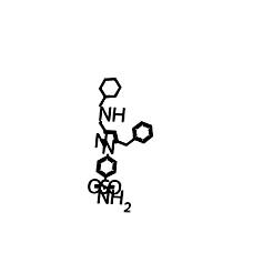 NS(=O)(=O)c1ccc(-n2nc(CNCC3CCCCC3)cc2Cc2ccccc2)cc1